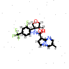 Cc1cnc2c(C(=O)N[C@@]3(c4ccc(C(F)(F)F)cc4F)COC[C@]3(C)O)ccn2c1